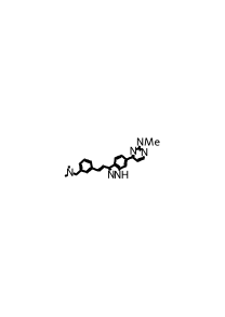 CNc1nccc(-c2ccc3c(C=Cc4cccc(CN(C)C)c4)n[nH]c3c2)n1